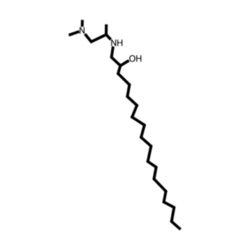 CCCCCCCCCCCCCCCCC(O)CNC(C)CN(C)C